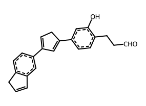 O=CCCc1ccc(C2=CC(c3ccc4c(c3)C=CC4)=CC2)cc1O